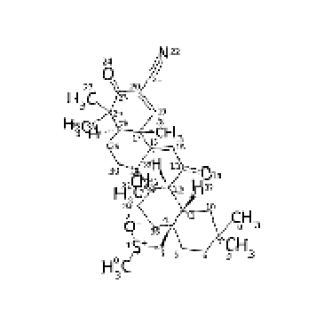 C[S+]([O-])C[C@]12CCC(C)(C)C[C@H]1[C@H]1C(=O)C=C3[C@@]4(C)C=C(C#N)C(=O)C(C)(C)[C@@H]4CC[C@@]3(C)[C@]1(C)CC2